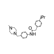 CC(C)c1ccc(CC(=O)Nc2ccc(CN3CCN(C)CC3)cc2)cc1